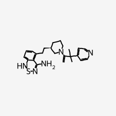 C=C(N1CCC[C@H](CCc2cccc3c2C(N)=NSN3)C1)C(C)(C)c1ccncc1